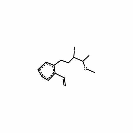 C=Cc1ccccc1CCC(I)C(C)OC